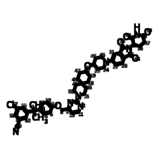 CC(C)(c1ccc(OCc2ccnc(N3CCC4(CCC(OC5CCN(c6ccc7c(c6)C(=O)N(C6CCC(=O)NC6=O)C7=O)CC5)CC4)CC3)n2)cc1)c1cc(Cl)cc(C#N)c1